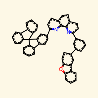 c1cc(-c2ccc3oc4ccccc4c3c2)cc(-c2ccc3ccc4ccc(-c5ccc6c(c5)C5(c7ccccc7-c7ccccc75)c5ccccc5-6)nc4c3n2)c1